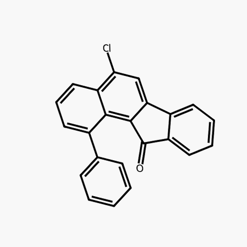 O=C1c2ccccc2-c2cc(Cl)c3cccc(-c4ccccc4)c3c21